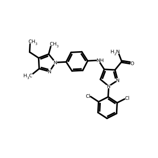 CCc1c(C)nn(-c2ccc(Nc3cn(-c4c(Cl)cccc4Cl)nc3C(N)=O)cc2)c1C